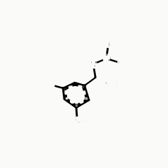 CC(C)[S+]([O-])N[C@H](C)c1cc([N+](=O)[O-])cc(C(F)(F)F)c1